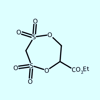 CCOC(=O)C1COS(=O)(=O)CS(=O)(=O)O1